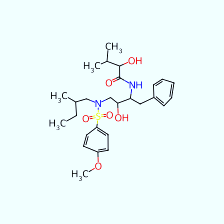 CCC(C)CN(CC(O)C(Cc1ccccc1)NC(=O)C(O)C(C)C)S(=O)(=O)c1ccc(OC)cc1